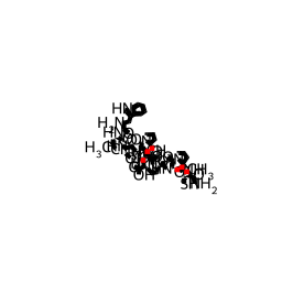 CSCC[C@H](NC(=O)[C@@H]1CCCN1C(=O)[C@H](CCC(=O)O)NC(=O)[C@@H]1CCCN1C(=O)[C@@H](NC(=O)[C@H](CO)NC(=O)[C@H](CC(C)C)NC(=O)[C@@H](N)Cc1c[nH]c2ccccc12)[C@@H](C)O)C(=O)N1CCC[C@H]1C(=O)N[C@@H](CS)C(N)=O